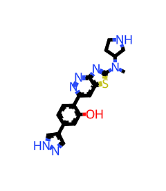 CN(c1nc2nnc(-c3ccc(-c4cn[nH]c4)cc3O)cc2s1)C1CCNC1